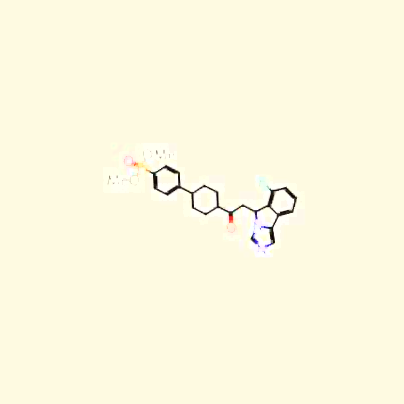 COP(=O)(OC)c1ccc(C2CCC(C(=O)CC3c4c(F)cccc4-c4cncn43)CC2)cc1